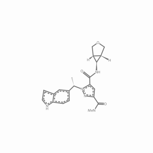 CNC(=O)c1cc(C(=O)N[C@H]2[C@@H]3COC[C@@H]32)n([C@@H](C)c2ccc3[nH]ccc3c2)n1